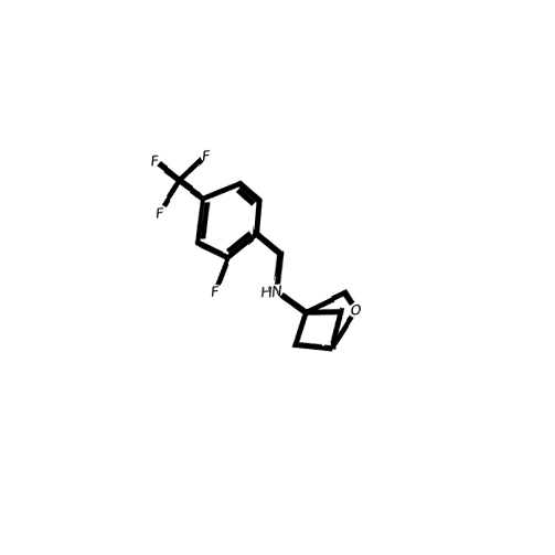 Fc1cc(C(F)(F)F)ccc1CNC12COC(C1)C2